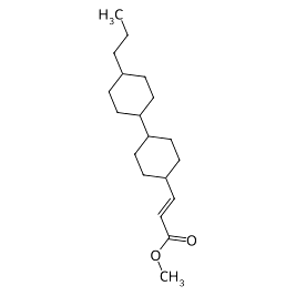 CCCC1CCC(C2CCC(C=CC(=O)OC)CC2)CC1